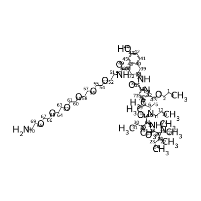 CCCO[C@H](CC(C(C)C)N(CCC)C(=O)[C@@H](NC(=O)[C@@H]([C@@H](C)CC)N(C)C)[C@@H](C)CC)c1nc(C(=O)N[C@H]2Cc3ccc(O)cc3[C@H](C(=O)NCCOCCOCCOCCOCCOCCOCCN)C2)cs1